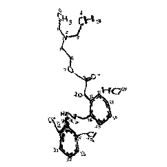 CCN(CC)CCOC(=O)Cc1ccccc1Nc1c(Cl)cccc1Cl.Cl